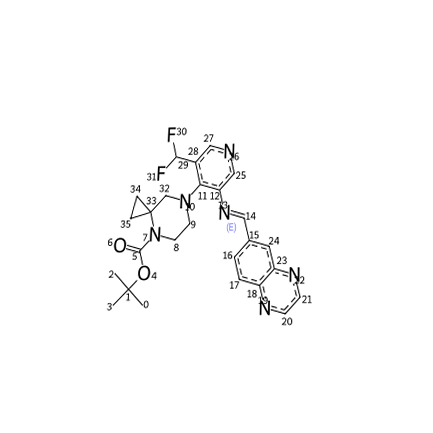 CC(C)(C)OC(=O)N1CCN(c2c(/N=C/c3ccc4nccnc4c3)cncc2C(F)F)CC12CC2